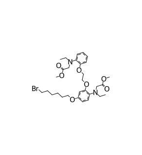 CCN(CC(=O)OC)c1ccccc1OCCOc1cc(OCCCCCCBr)ccc1N(CC)CC(=O)OC